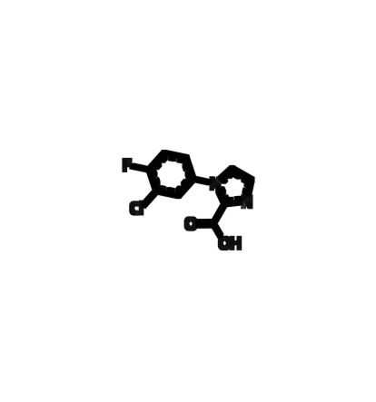 O=C(O)c1nccn1-c1ccc(F)c(Cl)c1